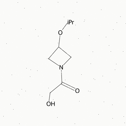 CC(C)OC1CN(C(=O)CO)C1